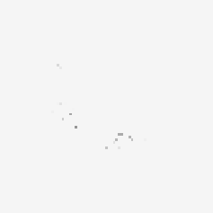 COc1ccc(N2CC3(CCN(c4ccc(OC5CCN(C6CCC6)CC5)nc4)CC3)OCC2=O)cn1